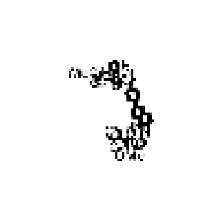 COC(=O)N[C@H](C(=O)N1[C@@H]2CC[C@@H](C2)[C@H]1c1ncc(-c2ccc(-c3ccc4c(ccc5nc(C6CCCN6C(=O)[C@@H](NC(=O)OC)C6CCOCC6)[nH]c54)c3)cc2)[nH]1)C(C)C